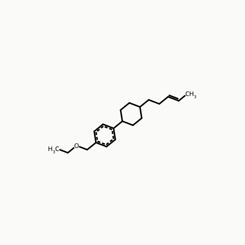 CC=CCCC1CCC(c2ccc(COCC)cc2)CC1